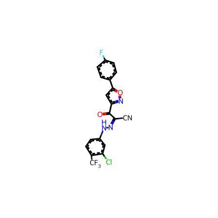 N#CC(=NNc1ccc(C(F)(F)F)c(Cl)c1)C(=O)c1cc(-c2ccc(F)cc2)on1